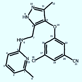 Cc1cccc(NCc2[nH]nc(C)c2Oc2cc(Cl)cc(C#N)c2)n1